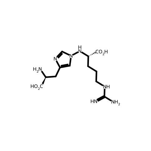 N=C(N)NCCC[C@H](Nn1cnc(C[C@H](N)C(=O)O)c1)C(=O)O